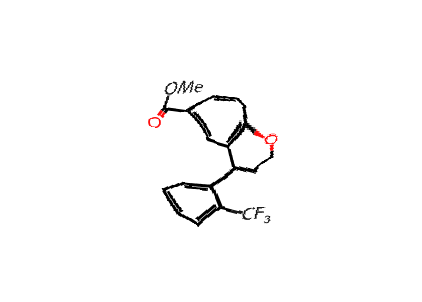 COC(=O)c1ccc2c(c1)C(c1ccccc1C(F)(F)F)CCO2